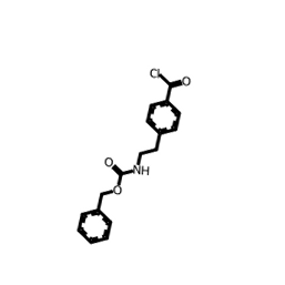 O=C(NCCc1ccc(C(=O)Cl)cc1)OCc1ccccc1